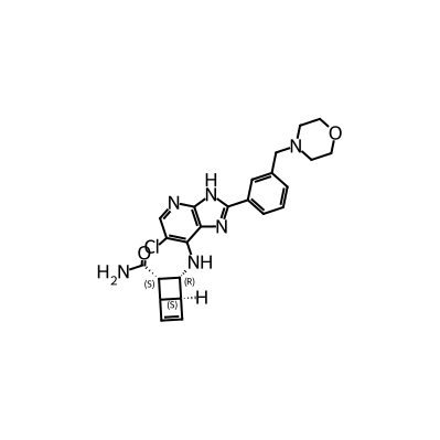 NC(=O)[C@H]1C2C=C[C@@H]2[C@H]1Nc1c(Cl)cnc2[nH]c(-c3cccc(CN4CCOCC4)c3)nc12